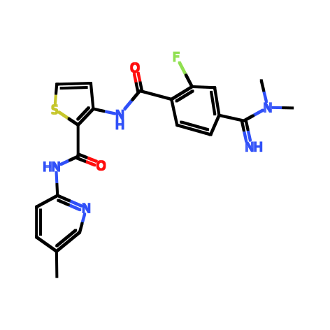 Cc1ccc(NC(=O)c2sccc2NC(=O)c2ccc(C(=N)N(C)C)cc2F)nc1